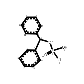 O=P(O)(Cl)OC(c1ccccc1)c1ccccc1